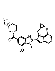 COc1cc(C(=O)N2CCC[C@@H](CN)C2)cc2nc(-c3cc4cccc(F)c4n3CC3CC3)n(C)c12